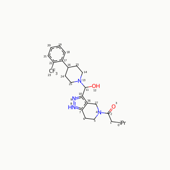 CC(C)CC(=O)N1CCc2[nH]nc(C(O)N3CCC(c4ccccc4C(F)(F)F)CC3)c2C1